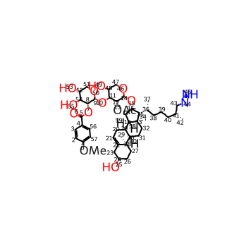 COc1ccc(C(=O)O[C@H]2[C@H](O[C@@H]3[C@@H](OC(C)=O)[C@H](O[C@H]4C[C@H]5[C@@H]6CC=C7C[C@@H](O)CC[C@]7(C)[C@H]6CC[C@]5(C)[C@H]4[C@H](C)CCC[C@@H](C)CN=N)OC[C@@H]3O)OC[C@@H](O)[C@@H]2O)cc1